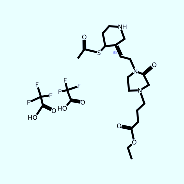 CCOC(=O)CCCN1CCN(C/C=C2\CNCCC2SC(C)=O)C(=O)C1.O=C(O)C(F)(F)F.O=C(O)C(F)(F)F